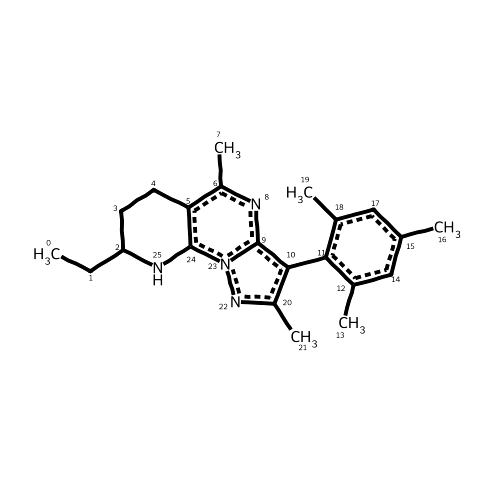 CCC1CCc2c(C)nc3c(-c4c(C)cc(C)cc4C)c(C)nn3c2N1